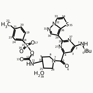 CC[C@H](C)Nc1cc(C(=O)N2CCC(NC(=O)OS(=O)(=O)c3ccc(C)cc3)CC2)nc(-c2cnn3ccsc23)n1.O